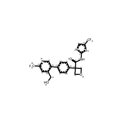 O=C(Nc1ncc(C(F)(F)F)s1)C1(c2ccc(-c3cnc(C(F)(F)F)cc3CO)cc2)COC1